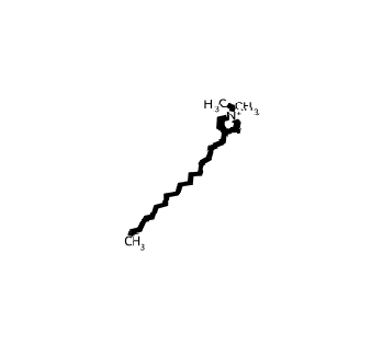 CCCCCCCCCCCCCCCCCc1cc[n+](C(C)C)cc1